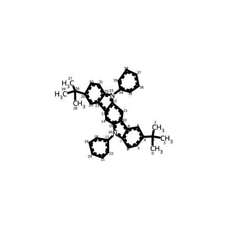 CC(C)(C)c1ccc2c(c1)c1cc3c(cc1n2-c1ccccc1)c1cc(C(C)(C)C)ccc1n3-c1ccccc1